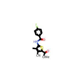 COC(=O)c1sc(NC(=O)c2ccc(F)cc2)c(C)c1C#N